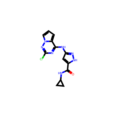 O=C(NC1CC1)c1cc(Nc2nc(Cl)nn3cccc23)n[nH]1